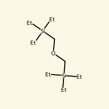 CC[Si](CC)(CC)COC[Si](CC)(CC)CC